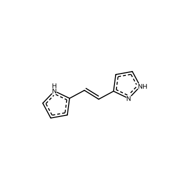 C(=Cc1ccc[nH]1)c1cc[nH]n1